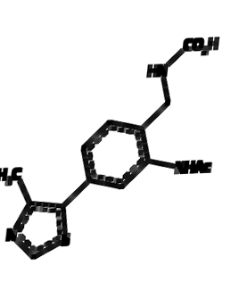 CC(=O)Nc1cc(-c2scnc2C)ccc1CNC(=O)O